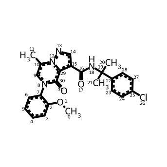 COc1ccccc1-n1cc(C)n2ncc(C(=O)NC(C)(C)c3ccc(Cl)cc3)c2c1=O